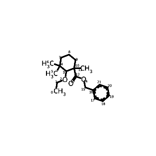 CCOC1C(C)(C)CCCC1(C)C(=O)OCc1ccccc1